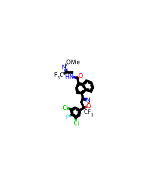 CO/N=C(\CNC(=O)c1ccc(C2=NOC(c3cc(Cl)c(F)c(Cl)c3)(C(F)(F)F)C2)c2ccccc12)C(F)(F)F